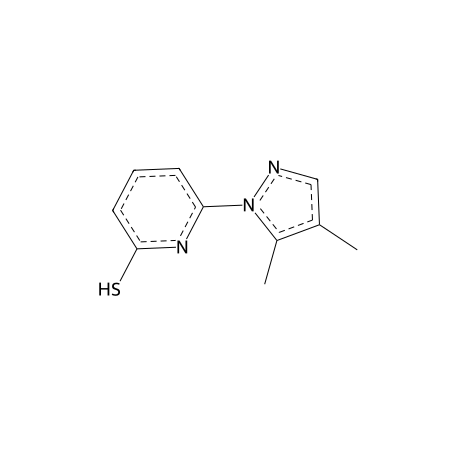 Cc1cnn(-c2cccc(S)n2)c1C